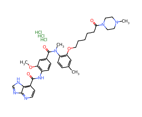 COc1cc(C(=O)N(C)c2ccc(C)cc2OCCCCCC(=O)N2CCN(C)CC2)ccc1NC(=O)c1ccnc2nc[nH]c12.Cl.Cl.Cl